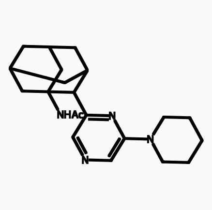 CC(=O)NC12CC3CC(CC(C3)C1c1cncc(N3CCCCC3)n1)C2